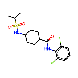 CC(C)S(=O)(=O)NC1CCC(C(=O)Nc2c(F)cccc2F)CC1